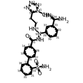 Cn1nnnc1CCNN(NC(=O)c1ccc(-c2ccccc2S(N)(=O)=O)cc1)c1cccc(C(=N)N)c1